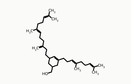 C=C(CC/C=C(\C)CCC=C(C)C)CCC1C=C(CC/C=C(\C)CCC=C(C)C)CC(CO)C1